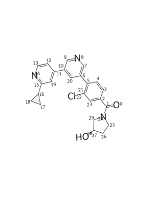 O=C(c1ccc(-c2cncc(-c3ccnc(C4CC4)c3)c2)c(Cl)c1)N1CCC(O)C1